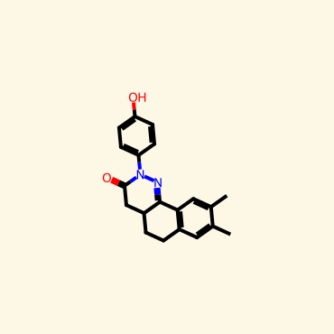 Cc1cc2c(cc1C)C1=NN(c3ccc(O)cc3)C(=O)CC1CC2